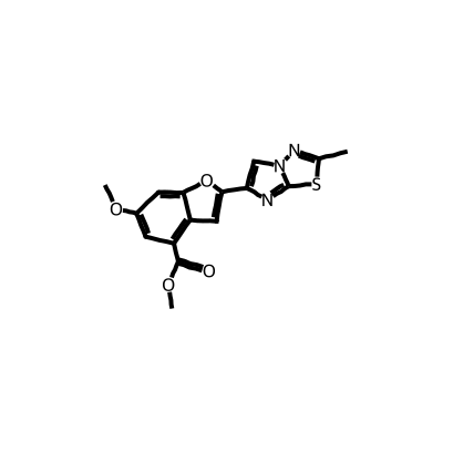 COC(=O)c1cc(OC)cc2oc(-c3cn4nc(C)sc4n3)cc12